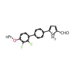 CCCOc1ccc(-c2ccc(C3=CC=C(C=O)[SeH2]3)cc2)c(F)c1F